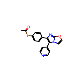 CC(=O)Sc1ccc(-c2nc3occn3c2-c2ccncc2)cc1